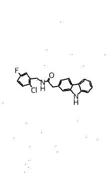 O=C(Cc1ccc2c(c1)[nH]c1ccccc12)NCc1cc(F)ccc1Cl